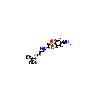 CCCCC(CC)COCCCNCCS(=O)(=O)c1ccc(N)cc1